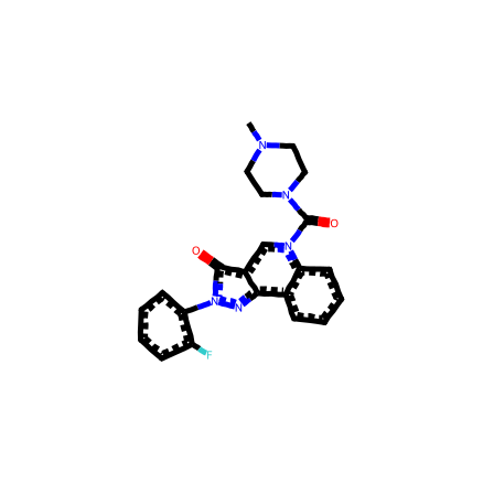 CN1CCN(C(=O)n2cc3c(=O)n(-c4ccccc4F)nc-3c3ccccc32)CC1